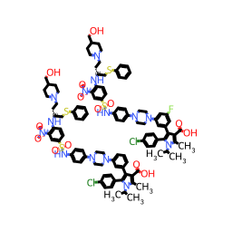 Cc1c(C(=O)O)c(-c2cc(F)cc(N3CCN(c4ccc(NS(=O)(=O)c5ccc(N[C@H](CCN6CCC(CO)CC6)CSc6ccccc6)c([N+](=O)[O-])c5)cc4)CC3)c2)c(-c2ccc(Cl)cc2)n1C(C)C.Cc1c(C(=O)O)c(-c2cccc(N3CCN(c4ccc(NS(=O)(=O)c5ccc(N[C@H](CCN6CCC(CO)CC6)CSc6ccccc6)c([N+](=O)[O-])c5)cc4)CC3)c2)c(-c2ccc(Cl)cc2)n1C(C)C